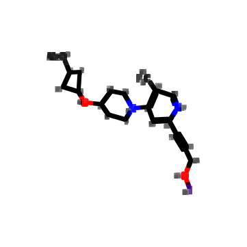 COC1CC(OC2CCN(c3cc(C#CCOI)ncc3C(F)(F)F)CC2)C1